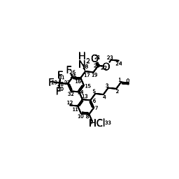 C=CCCCCc1cc(C)cc(C)c1-c1cc([C@@H](N)CC(=O)OCC)c(F)c(C(F)(F)F)c1.Cl